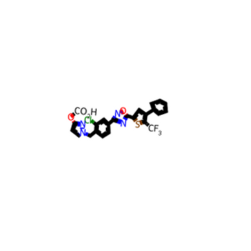 O=C(O)Oc1ccn(Cc2ccc(-c3noc(-c4cc(-c5ccccc5)c(C(F)(F)F)s4)n3)cc2Cl)n1